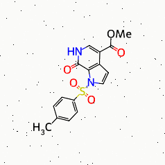 COC(=O)c1c[nH]c(=O)c2c1ccn2S(=O)(=O)c1ccc(C)cc1